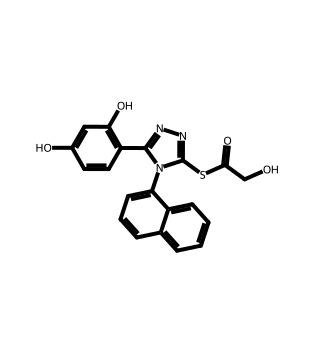 O=C(CO)Sc1nnc(-c2ccc(O)cc2O)n1-c1cccc2ccccc12